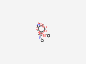 CC[C@H]1OC(=O)[C@H](C)[C@@H](O)[C@H](C)[C@@H](O[C@@H]2O[C@H](C)C[C@H](N(C)Cc3ccccc3)[C@H]2OC(=O)OCc2ccccc2)[C@@](C)(OC)C[C@@H](C)C(=O)[C@H](C)[C@H]2NC(=O)O[C@@]21C